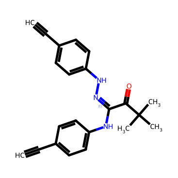 C#Cc1ccc(N/N=C(/Nc2ccc(C#C)cc2)C(=O)C(C)(C)C)cc1